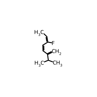 C=C(/C=C\C(F)=C/C)C(C)C